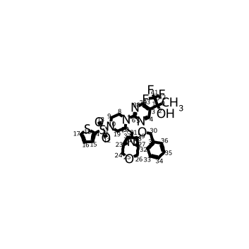 CC(O)(c1cnc(N2CCN(S(=O)(=O)c3cccs3)C[C@@H]2CN2C3COCC2C(OCc2ccccc2)C3)nc1)C(F)(F)F